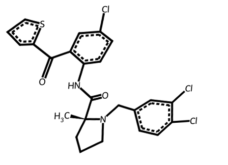 C[C@]1(C(=O)Nc2ccc(Cl)cc2C(=O)c2cccs2)CCCN1Cc1ccc(Cl)c(Cl)c1